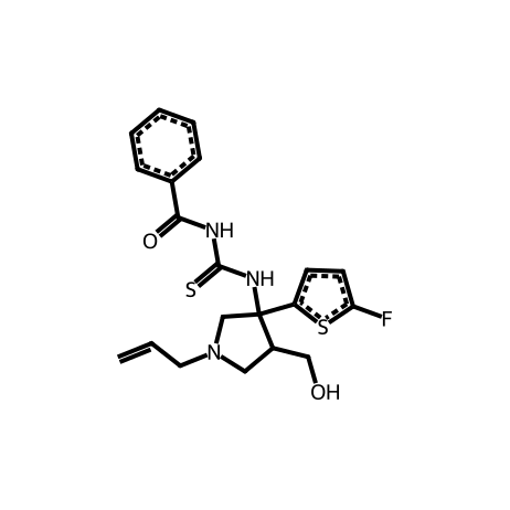 C=CCN1CC(CO)C(NC(=S)NC(=O)c2ccccc2)(c2ccc(F)s2)C1